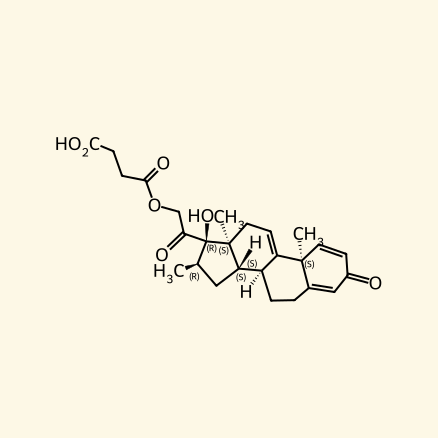 C[C@@H]1C[C@H]2[C@@H]3CCC4=CC(=O)C=C[C@]4(C)C3=CC[C@]2(C)[C@@]1(O)C(=O)COC(=O)CCC(=O)O